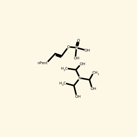 CC(O)N(C(C)O)C(C)O.CCCCCC=COP(=O)(O)O